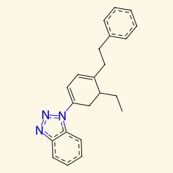 CCC1CC(n2nnc3ccccc32)=CC=C1CCc1ccccc1